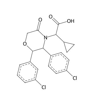 O=C(O)C(C1CC1)N1C(=O)COC(c2cccc(Cl)c2)C1c1ccc(Cl)cc1